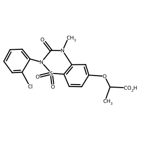 CC(Oc1ccc2c(c1)N(C)C(=O)N(c1ccccc1Cl)S2(=O)=O)C(=O)O